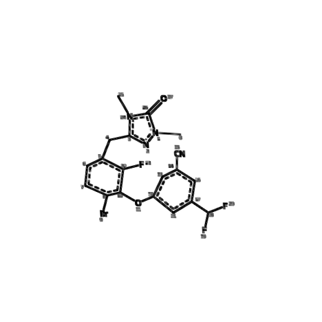 Cn1nc(Cc2ccc(Br)c(Oc3cc(C#N)cc(C(F)F)c3)c2F)n(C)c1=O